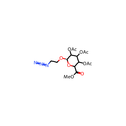 COC(=O)C1O[C@@H](OCCN=[N+]=[N-])C(OC(C)=O)C(OC(C)=O)C1OC(C)=O